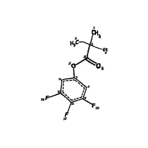 CCC(C)(C)C(=O)Oc1cc(F)c(F)c(F)c1